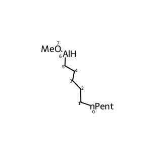 CCCCCCCCC[CH2][AlH][O]C